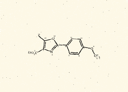 CCOC(=O)c1nc(-c2ccc(OC(F)(F)F)cc2)oc1C